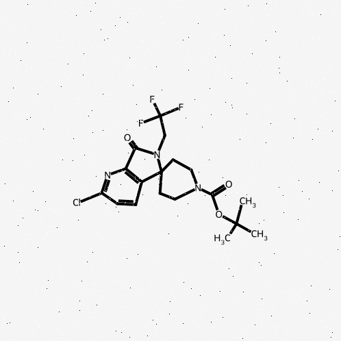 CC(C)(C)OC(=O)N1CCC2(CC1)c1ccc(Cl)nc1C(=O)N2CC(F)(F)F